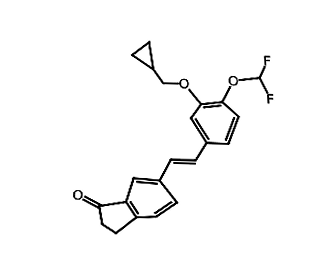 O=C1CCc2ccc(C=Cc3ccc(OC(F)F)c(OCC4CC4)c3)cc21